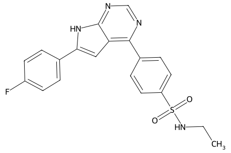 CCNS(=O)(=O)c1ccc(-c2ncnc3[nH]c(-c4ccc(F)cc4)cc23)cc1